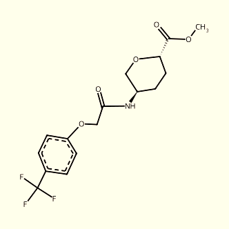 COC(=O)[C@@H]1CC[C@@H](NC(=O)COc2ccc(C(F)(F)F)cc2)CO1